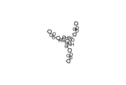 O=C(Oc1ccccc1)Oc1ccc(C(=O)Nc2cc(NC(=O)c3ccc(OC(=O)Oc4ccccc4)cc3)nc(NC(=O)c3ccc(OC(=O)Oc4ccccc4)cc3)n2)cc1